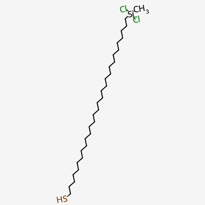 C[Si](Cl)(Cl)CCCCCCCCCCCCCCCCCCCCCCCCCCCCCCS